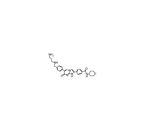 NCCCNCc1ccc(-c2cn3cc(-c4ccc(C(=O)NC5CCOCC5)cc4)[nH]c3nc2=O)cc1